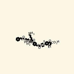 CCn1cc(C(=O)O)c(=O)c2cc(F)c(N3CCN(C(=O)OCc4ccc(NC(=O)C(CCCCN)N(N)/C=C(\N)CNC(=O)OCc5ccccc5)cc4)CC3)cc21